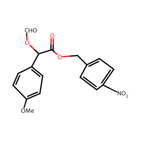 COc1ccc(C(O[C]=O)C(=O)OCc2ccc([N+](=O)[O-])cc2)cc1